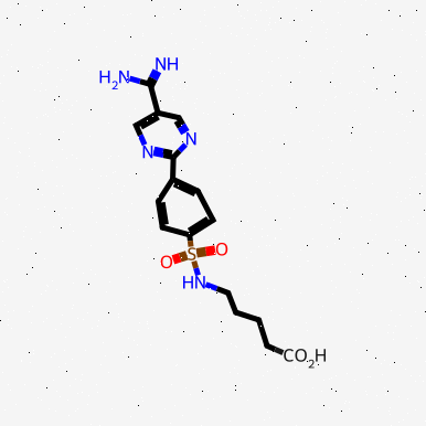 N=C(N)c1cnc(-c2ccc(S(=O)(=O)NCCCCC(=O)O)cc2)nc1